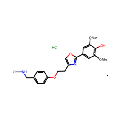 COc1cc(-c2nc(CCOc3ccc(CNC(C)C)cc3)co2)cc(OC)c1O.Cl